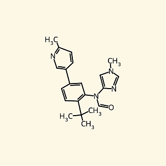 Cc1ccc(-c2ccc(C(C)(C)C)c(N(C=O)c3cn(C)cn3)c2)cn1